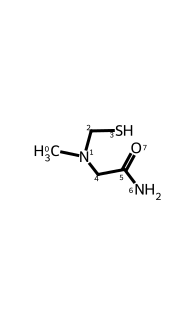 CN(CS)CC(N)=O